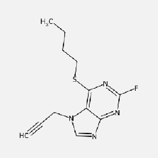 C#CCn1cnc2nc(F)nc(SCCCC)c21